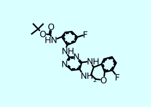 CC(C)(C)OC(=O)Nc1ccc(F)cc1Nc1ncc(N)c(NC2CCOc3c(F)cccc32)n1